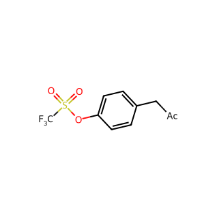 CC(=O)Cc1ccc(OS(=O)(=O)C(F)(F)F)cc1